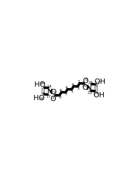 O=C(CCCCCCCCC(=O)ON(CCO)CCO)ON(CCO)CCO